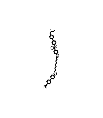 CC[C@@H](C)Cc1ccc(-c2ccc(OC(=O)c3ccc(OCCCCCCCCCOc4ccc(-c5ccc(C#N)cc5)cc4)cc3)cc2)cc1